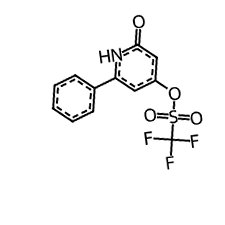 O=c1cc(OS(=O)(=O)C(F)(F)F)cc(-c2ccccc2)[nH]1